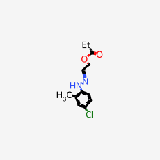 CCC(=O)OCC=NNc1ccc(Cl)cc1C